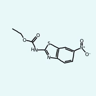 CCOC(=O)Nc1nc2ccc([N+](=O)[O-])cc2s1